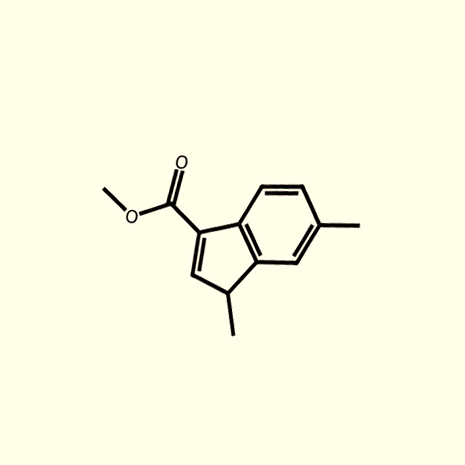 COC(=O)C1=CC(C)c2cc(C)ccc21